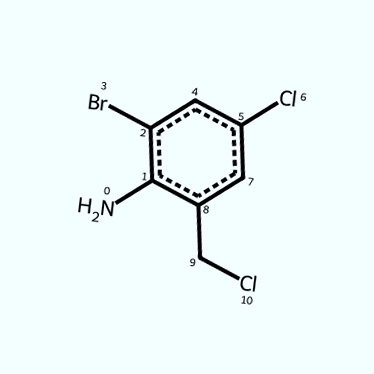 Nc1c(Br)cc(Cl)cc1CCl